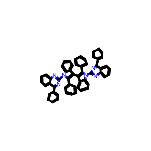 c1ccc(-c2nc(-n3c(-c4ccccc4)c(-c4c(-c5ccccc5)n(-c5nc(-c6ccccc6)c6ccccc6n5)c5ccccc45)c4ccccc43)nc3ccccc23)cc1